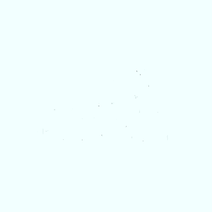 Fc1ccc(-c2oc(-c3ccc(Cl)cc3)cc2-c2ccncc2)cc1